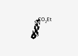 CCOC(=O)c1csc(N2CCN(C3=Nc4ccccc4SC3)CC2)n1